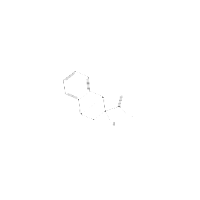 NC1(C(=O)O)CC2CCC1c1ccccc12